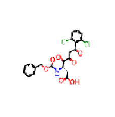 O=C(O)C[C@H](NC(=O)OCc1ccccc1)C(=O)C(=O)CC(=O)c1c(Cl)cccc1Cl